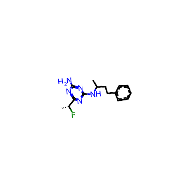 CC(CCc1ccccc1)Nc1nc(N)nc([C@@H](C)F)n1